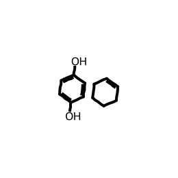 C1=CCCCC1.Oc1ccc(O)cc1